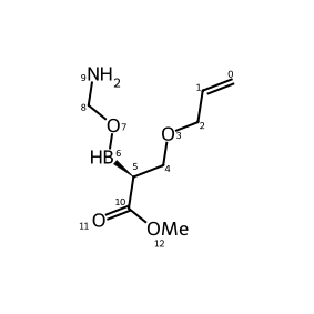 C=CCOC[C@H](BOCN)C(=O)OC